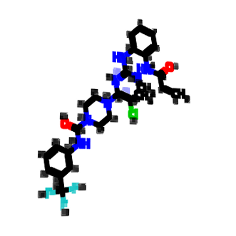 C=CC(=O)Nc1ccccc1N/C(N=C)=N/C(=C(\C)Cl)N1CCN(C(=O)Nc2cccc(C(F)(F)F)c2)CC1